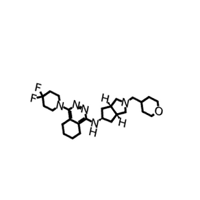 FC1(F)CCN(c2nnc(N[C@H]3C[C@@H]4CN(CC5CCOCC5)C[C@@H]4C3)c3c2CCCC3)CC1